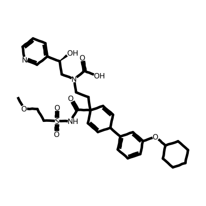 COCCS(=O)(=O)NC(=O)C1(CCN(C[C@H](O)c2cccnc2)C(=O)O)C=CC(c2cccc(OC3CCCCC3)c2)C=C1